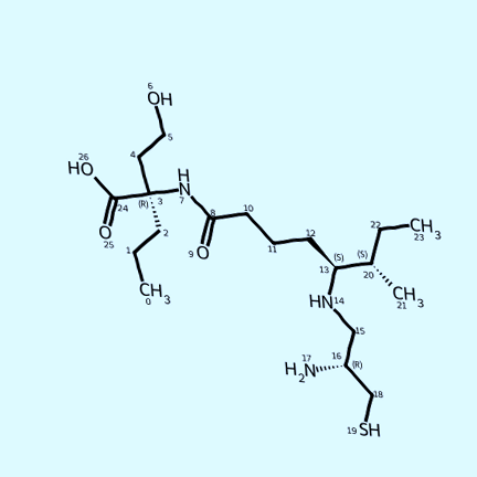 CCC[C@](CCO)(NC(=O)CCC[C@H](NC[C@@H](N)CS)[C@@H](C)CC)C(=O)O